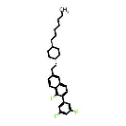 CCCCCCC[C@H]1CC[C@H](CCc2ccc3c(F)c(-c4cc(F)cc(F)c4)ccc3c2)CC1